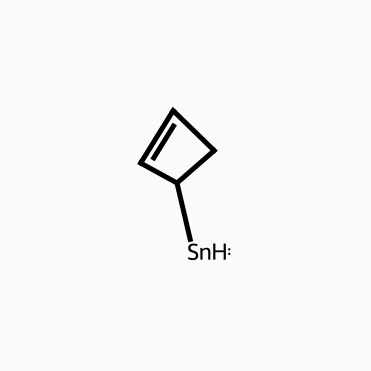 [SnH][CH]1C=CC1